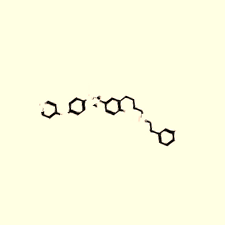 O=S(=O)(Nc1ccc(Sc2ccncc2)cc1)c1ccc2c(c1)CCC(CNCC(O)c1cccc(Cl)c1)O2